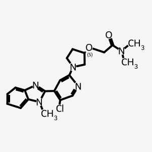 CN(C)C(=O)CO[C@H]1CCN(c2cc(-c3nc4ccccc4n3C)c(Cl)cn2)C1